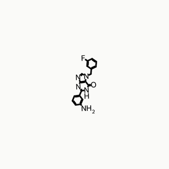 Nc1cccc(-c2nc3ncn(Cc4cccc(F)c4)c3c(=O)[nH]2)c1